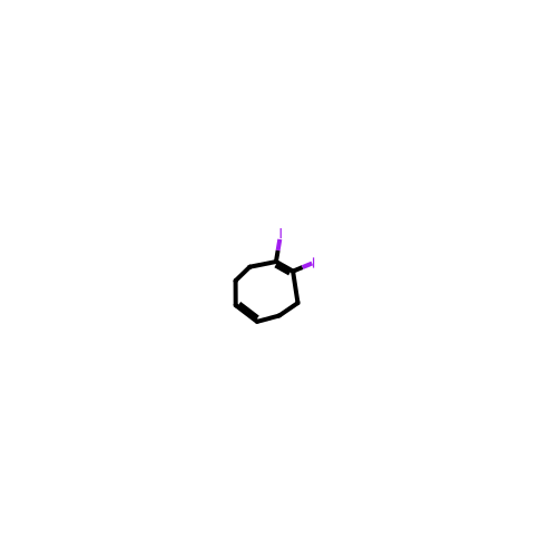 IC1=C(I)CCC=CCC1